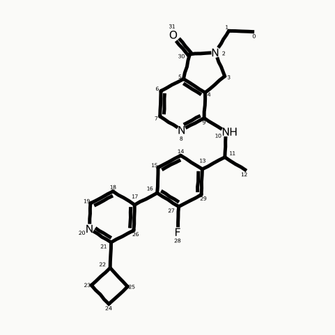 CCN1Cc2c(ccnc2NC(C)c2ccc(-c3ccnc(C4CCC4)c3)c(F)c2)C1=O